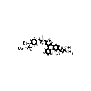 CCN(C(=O)OC)[C@H]1CC[C@H](CC(=O)Nc2cc(-c3ccccc3)c(-c3ccc([C@]4(N)C[C@](C)(O)C4)cc3)nn2)CC1